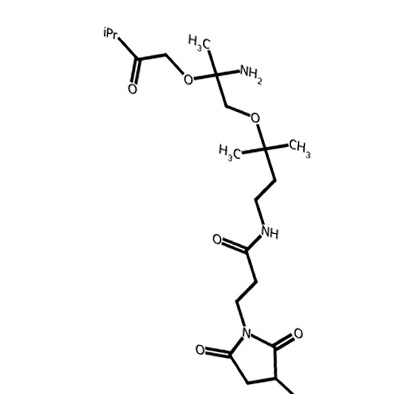 CC(C)C(=O)COC(C)(N)COC(C)(C)CCNC(=O)CCN1C(=O)CC(SC(C)(C)C)C1=O